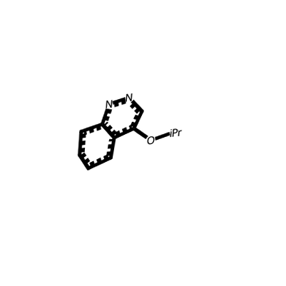 CC(C)Oc1cnnc2ccccc12